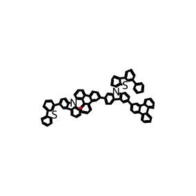 c1ccc(-c2cccc3c2sc2c(-n4c5ccc(-c6ccc7c8ccccc8c8ccccc8c7c6)cc5c5ccc(-c6ccc7c(c6)c6ccccc6c6c(-n8c9ccccc9c9cc(-c%10cccc%11c%10sc%10ccccc%10%11)ccc98)cccc76)cc54)cccc23)cc1